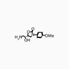 COc1ccc(N2C[C@H](C(O)CN)OC2=O)cc1